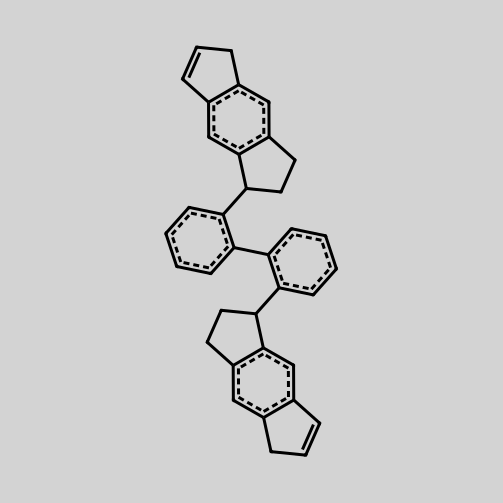 C1=Cc2cc3c(cc2C1)CCC3c1ccccc1-c1ccccc1C1CCc2cc3c(cc21)C=CC3